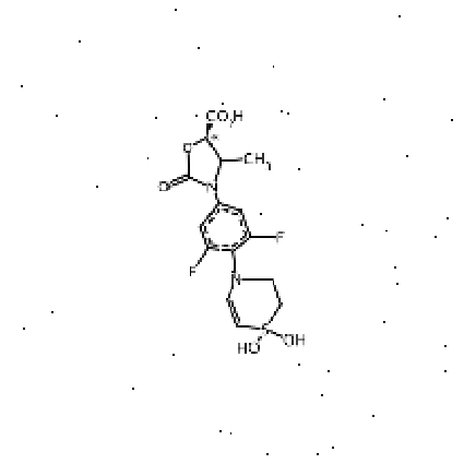 CC1[C@H](C(=O)O)OC(=O)N1c1cc(F)c(N2C=CS(O)(O)CC2)c(F)c1